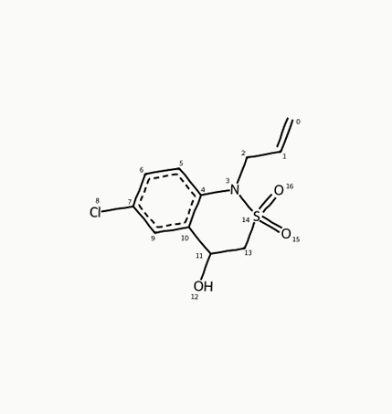 C=CCN1c2ccc(Cl)cc2C(O)CS1(=O)=O